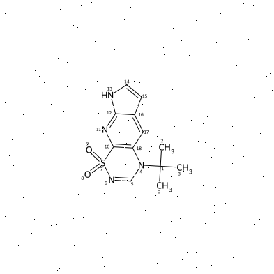 CC(C)(C)N1C=NS(=O)(=O)c2nc3[nH]ccc3cc21